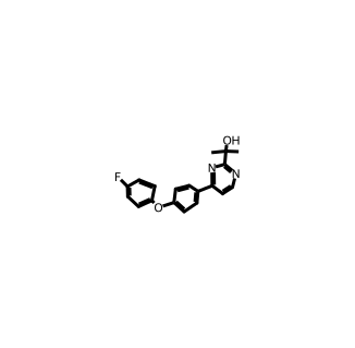 CC(C)(O)c1nccc(-c2ccc(Oc3ccc(F)cc3)cc2)n1